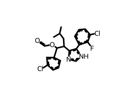 CC(C)CC(c1nc[nH]c1-c1cccc(Cl)c1F)C(OC=O)c1cccc(Cl)c1